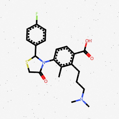 Cc1c(N2C(=O)CSC2c2ccc(F)cc2)ccc(C(=O)O)c1CCCN(C)C